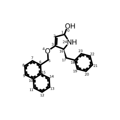 OC1C=C(OCc2cccc3ccccc23)[C@H](Cc2ccccc2)N1